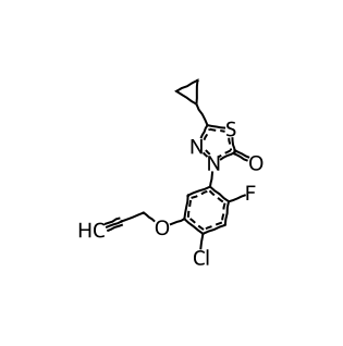 C#CCOc1cc(-n2nc(C3CC3)sc2=O)c(F)cc1Cl